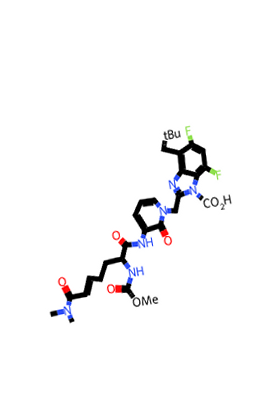 COC(=O)NC(CCC=CC(=O)N(C)C)C(=O)Nc1cccn(Cc2nc3c(CC(C)(C)C)c(F)cc(F)c3n2C(=O)O)c1=O